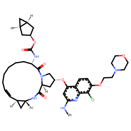 CC(=O)[C@@]12C[C@H]1/C=C\CCCCC[C@H](NC(=O)O[C@@H]1C[C@@H]3C[C@@H]3C1)C(=O)N1C[C@H](Oc3cc(NC(C)C)nc4c(Cl)c(OCCN5CCOCC5)ccc34)C[C@H]1C(=O)N2